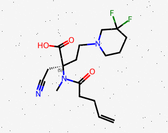 C=CCCC(=O)N(C)[C@](CC#N)(CCN1CCCC(F)(F)C1)C(=O)O